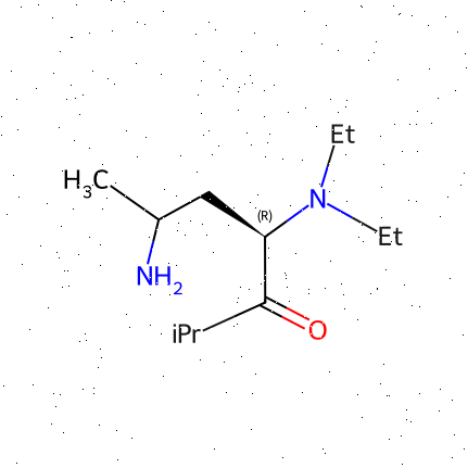 CCN(CC)[C@H](CC(C)N)C(=O)C(C)C